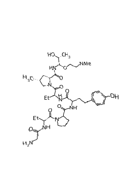 CCC(NC(=O)CN)C(=O)N1CCCC1C(=O)NC(CCc1ccc(O)cc1)C(=O)NC(CC)C(=O)N1C[C@H](C)CC1C(=O)NC(OCCNC)[C@@H](C)O